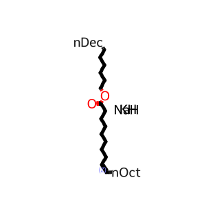 CCCCCCCC/C=C\CCCCCCCC(=O)OCCCCCCCCCCCCCCCC.[KH].[NaH]